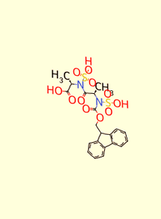 C[C@H](C(=O)N([C@H](C)C(=O)O)S(=O)(=O)O)N(C(=O)OCC1c2ccccc2-c2ccccc21)S(=O)(=O)O